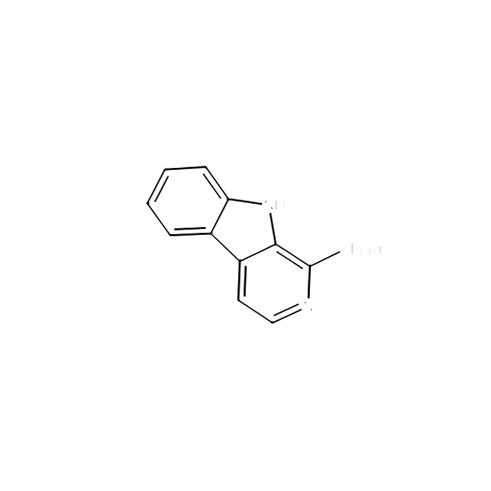 CCCCCc1nccc2c1[nH]c1ccccc12